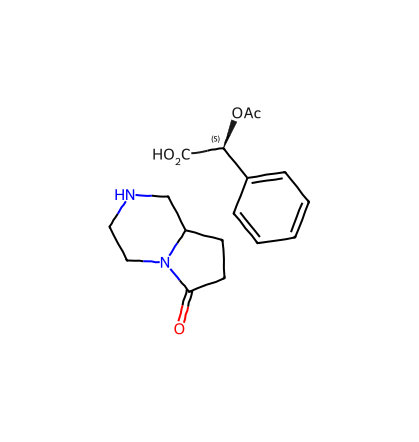 CC(=O)O[C@H](C(=O)O)c1ccccc1.O=C1CCC2CNCCN12